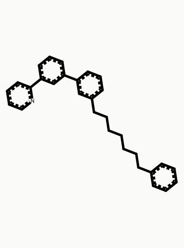 c1ccc(CCCCCCCc2cccc(-c3cccc(-c4ccccn4)c3)c2)cc1